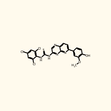 COc1cc(-c2ccc3ncc(NC(=S)Nc4c(Cl)cc(Cl)cc4Cl)nc3n2)ccc1O